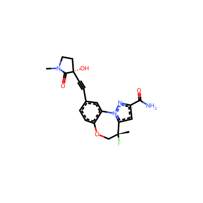 CN1CC[C@@](O)(C#Cc2ccc3c(c2)-n2nc(C(N)=O)cc2[C@](C)(F)CO3)C1=O